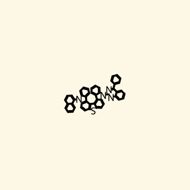 c1ccc(-c2nc(-n3c4ccccc4c4c5c(ccc43)sc3ccc4c(c6ccccc6n4-c4cccc6ccccc46)c35)nc3ccccc23)cc1